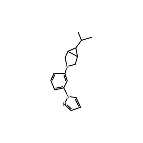 CC(C)C1C2CN(c3cccc(-n4cccn4)c3)CC21